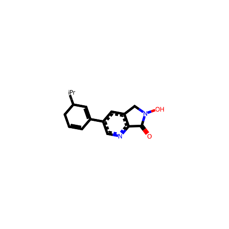 CC(C)C1C=C(c2cnc3c(c2)CN(O)C3=O)C=CC1